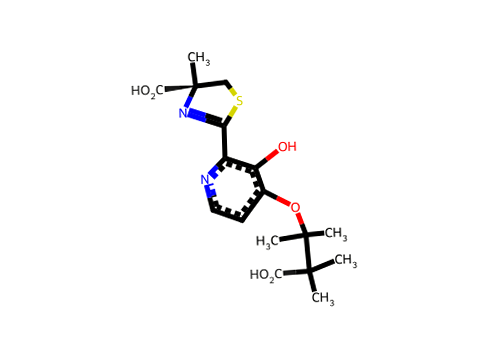 CC(C)(Oc1ccnc(C2=N[C@@](C)(C(=O)O)CS2)c1O)C(C)(C)C(=O)O